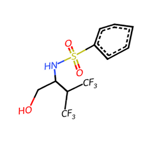 O=S(=O)(NC(CO)C(C(F)(F)F)C(F)(F)F)c1ccccc1